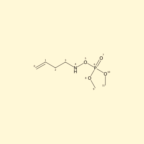 C=CCCNOP(=O)(OC)OC